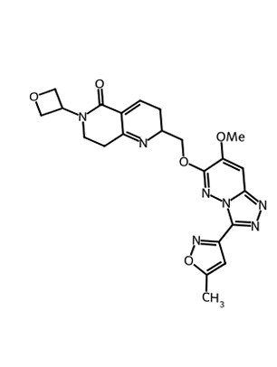 COc1cc2nnc(-c3cc(C)on3)n2nc1OCC1CC=C2C(=O)N(C3COC3)CCC2=N1